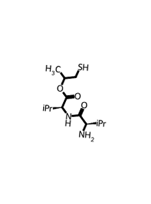 CC(CS)OC(=O)[C@@H](NC(=O)[C@H](N)C(C)C)C(C)C